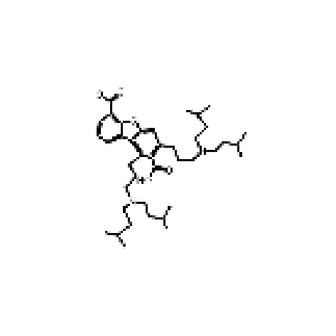 CC(C)CCN(CCCc1cc2sc3c(C(=O)O)cccc3c2c(CCCN(CCC(C)C)CCC(C)C)c1C(=O)O)CCC(C)C